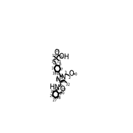 COCCn1c(-c2ccc(SC(C)(C)C(=O)O)cc2)nc(C(=O)Nc2ccccc2C)c1C